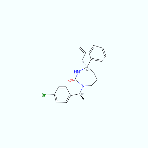 C=CC[C@]1(c2ccccc2)CCCN([C@@H](C)c2ccc(Br)cc2)C(=O)N1